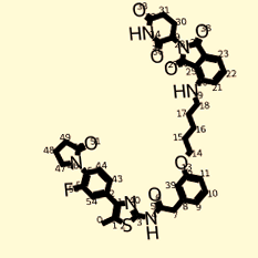 Cc1sc(NC(=O)Cc2cccc(OCCCCCNc3cccc4c3C(=O)N(C3CCC(=O)NC3=O)C4=O)c2)nc1-c1ccc(N2CCCC2=O)c(F)c1